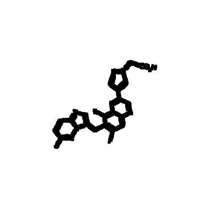 Cc1ccc2nnc(Cc3c(F)cc4ncc(-c5cnn(CC(=O)O)c5)cc4c3F)n2n1